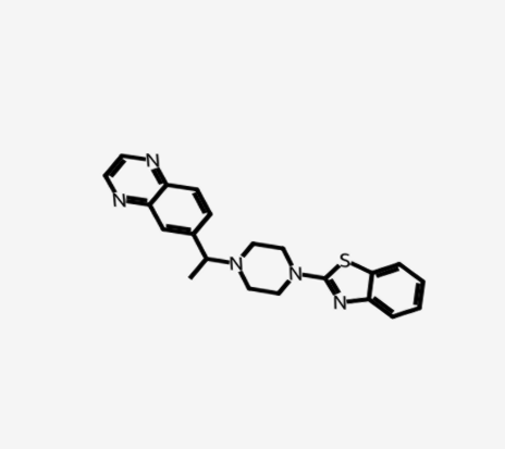 CC(c1ccc2nccnc2c1)N1CCN(c2nc3ccccc3s2)CC1